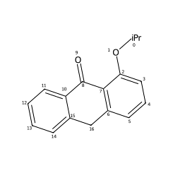 CC(C)Oc1cccc2c1C(=O)c1ccccc1C2